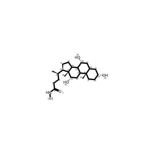 CCNC(=O)CC[C@@H](C)[C@H]1CCC2C3C(C[C@H](O)[C@@]21C)[C@@]1(C)CC[C@@H](O)CC1C[C@H]3O